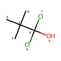 CC(C)(C)C(O)(Cl)Cl